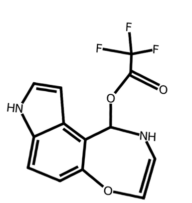 O=C(OC1NC=COc2ccc3[nH]ccc3c21)C(F)(F)F